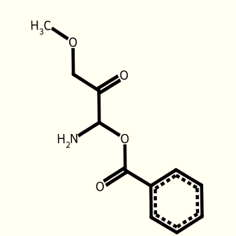 COCC(=O)C(N)OC(=O)c1ccccc1